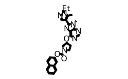 CCn1ncc(-c2nc3c(OC4CCN(C(=O)Oc5ccc6ccccc6c5)C4)ncnc3n2C)c1C